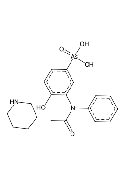 C1CCNCC1.CC(=O)N(c1ccccc1)c1cc([As](=O)(O)O)ccc1O